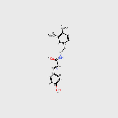 COc1ccc(CCNC(=O)/C=C/c2ccc(O)cc2)cc1OC